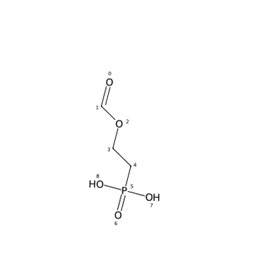 O=COCCP(=O)(O)O